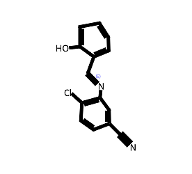 N#Cc1ccc(Cl)c(/N=C/c2ccccc2O)c1